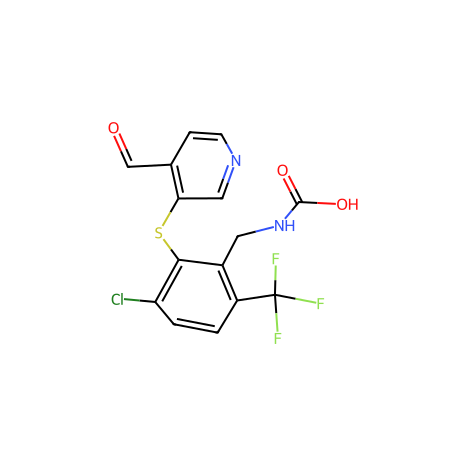 O=Cc1ccncc1Sc1c(Cl)ccc(C(F)(F)F)c1CNC(=O)O